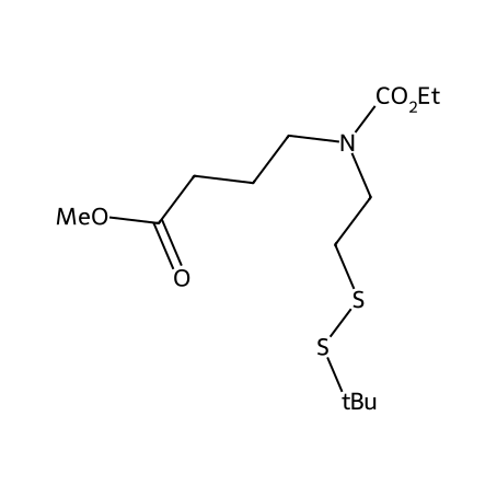 CCOC(=O)N(CCCC(=O)OC)CCSSC(C)(C)C